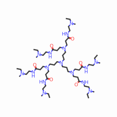 CCN(C)CCNC(=O)CCN(CCCN(CCCN(CCC(=O)NCCN(C)CC)CCC(=O)NCCN(C)CC)CCCN(CCC(=O)NCCN(C)CC)CCC(=O)NCCN(C)CC)CCC(=O)NCCN(C)CC